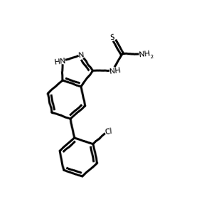 NC(=S)Nc1n[nH]c2ccc(-c3ccccc3Cl)cc12